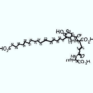 CCCC(NC(=O)CCC(NC(=O)C(CS(=O)(=O)O)NC(=O)CCCCCCCCCCCCCCCCC(=O)O)C(=O)O)C(=O)O